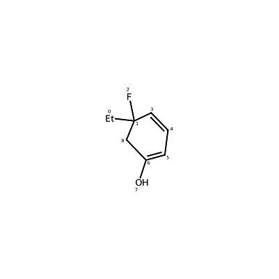 CCC1(F)C=CC=C(O)C1